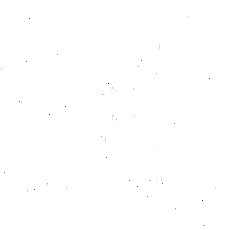 COC(=O)c1ccnc(N2CCN(C(c3ccc(F)cc3)c3ccc(F)cc3)CC2)c1